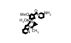 COc1cc(C(=O)N2CCC[C@@H](N)C2)cc2nc(-c3cc4cccnc4n3[C@@H](C)C3CC3)n(C)c12